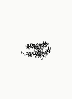 Cc1nsc(SCC2=C(C(=O)O)N3C(=O)C(NC(=O)C[S+]([O-])c4cccs4)[C@@H]3SC2)n1.O=C(C[S+]([O-])c1cccs1)NC1C(=O)N2C(C(=O)O)=C(CSc3ncns3)CS[C@@H]12